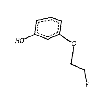 Oc1cccc(OCCF)c1